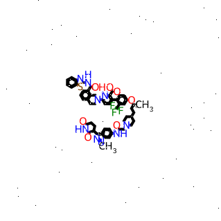 C[C@H](CCC1CCN(CC(=O)Nc2ccc3c(C4CCC(=O)NC4=O)nn(C)c3c2)CC1)Oc1ccc(-c2ccc(N3CCc4cccc(C(=O)Nc5nc6ccccc6s5)c4C3)nc2C(=O)O)c(C(F)(F)F)c1